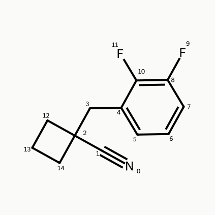 N#CC1(Cc2cccc(F)c2F)CCC1